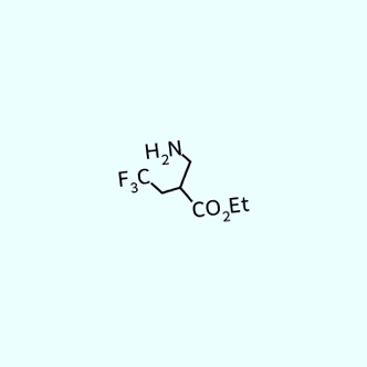 CCOC(=O)C(CN)CC(F)(F)F